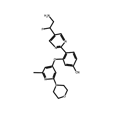 Cc1cc(Oc2cc(C#N)ccc2-c2ncc(C(F)CN)cn2)cc(N2CCOCC2)n1